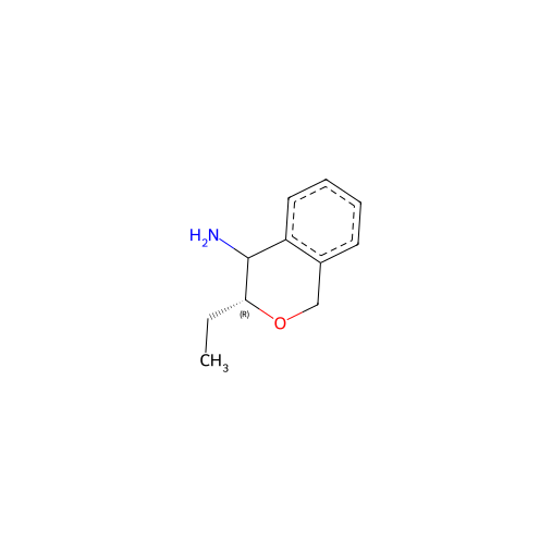 CC[C@H]1OCc2ccccc2C1N